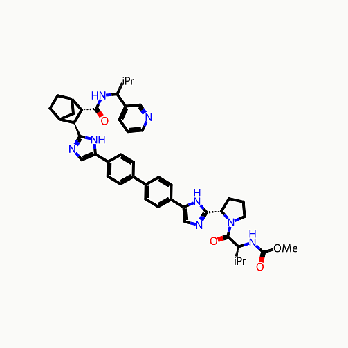 COC(=O)N[C@H](C(=O)N1CCC[C@H]1c1ncc(-c2ccc(-c3ccc(-c4cnc([C@H]5C6CCC(C6)[C@@H]5C(=O)NC(c5cccnc5)C(C)C)[nH]4)cc3)cc2)[nH]1)C(C)C